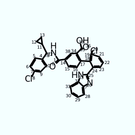 O=C(N[C@H](c1ccc(Cl)cc1)C1CC1)c1ccc(-c2c(Cl)cccc2-c2nc3ccccc3[nH]2)c(C(=O)O)c1